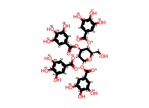 O=C(O[C@H]1O[C@H](CO)[C@@H](OC(=O)c2cc(O)c(O)c(O)c2)[C@H](OC(=O)c2cc(O)c(O)c(O)c2)[C@H]1OC(=O)c1cc(O)c(O)c(O)c1)c1cc(O)c(O)c(O)c1